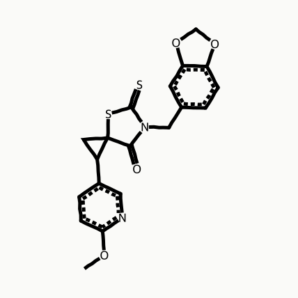 COc1ccc(C2CC23SC(=S)N(Cc2ccc4c(c2)OCO4)C3=O)cn1